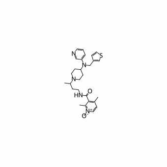 Cc1cc[n+]([O-])c(C)c1C(=O)NCCC(C)N1CCC(N(Cc2ccsc2)c2cccnc2)CC1